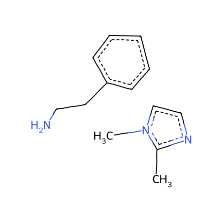 Cc1nccn1C.NCCc1ccccc1